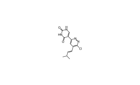 CC(C)/C=C/c1cc(-c2c[nH]c(=O)[nH]c2=O)nnc1Cl